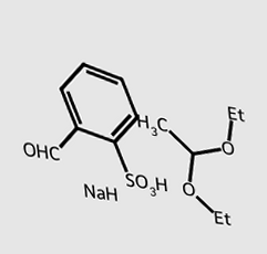 CCOC(C)OCC.O=Cc1ccccc1S(=O)(=O)O.[NaH]